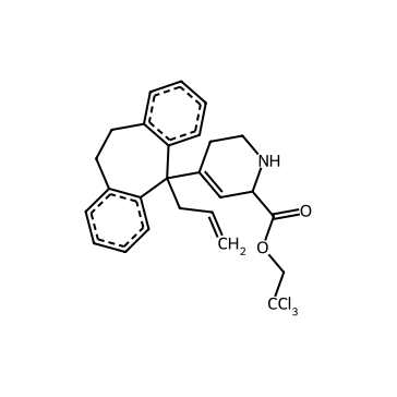 C=CCC1(C2=CC(C(=O)OCC(Cl)(Cl)Cl)NCC2)c2ccccc2CCc2ccccc21